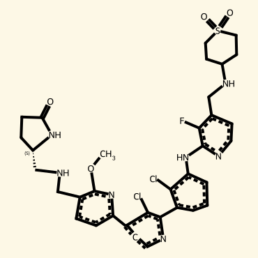 COc1nc(-c2ccnc(-c3cccc(Nc4nccc(CNC5CCS(=O)(=O)CC5)c4F)c3Cl)c2Cl)ccc1CNC[C@@H]1CCC(=O)N1